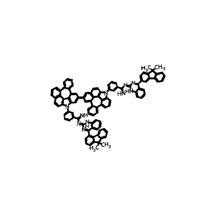 CC1(C)c2ccccc2-c2cc(-c3n/c(=N/C(=N)c4cccc(-n5c6cccc7c6c6c8c(cc(-c9cc%10c%11c%12c%13c(cccc%13ccc%12n(-c%12cccc(C(=N)/N=c%13/nc(-c%14cccc%15c%14-c%14ccccc%14C%15(C)C)c%14ccccc%14[nH]%13)c%12)c%11c9)-c9ccccc9-%10)cc8ccc65)-c5ccccc5-7)c4)[nH]c4ccccc34)ccc21